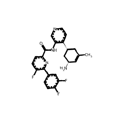 CC1=C[C@H](N)C[C@H](c2ccncc2NC(=O)c2ccc(F)c(-c3ccc(F)c(F)c3)n2)C1